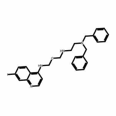 Ic1ccc2c(NCOCNCCN(Cc3ccccc3)Cc3ccccc3)ccnc2c1